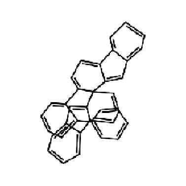 C1=CC2(C3=Cc4ccccc4C3=C1)C1=Cc3ccccc3C1=CC=C2c1ccccc1-c1ccccc1